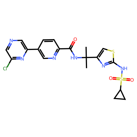 CC(C)(NC(=O)c1ccc(-c2cncc(Cl)n2)cn1)c1csc(NS(=O)(=O)C2CC2)n1